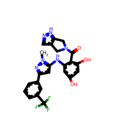 Cn1nc(-c2cccc(C(F)(F)F)c2)cc1Nc1cc(O)cc(O)c1C(=O)N1Cc2cn[nH]c2C1